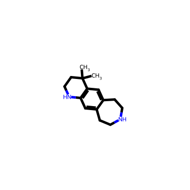 CC1(C)CCNc2cc3c(cc21)CCNCC3